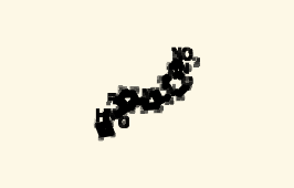 O=C(NC1CCC1)c1cc(-c2ccc(CN3CCOc4nc([N+](=O)[O-])cn4CC3)cn2)ccc1F